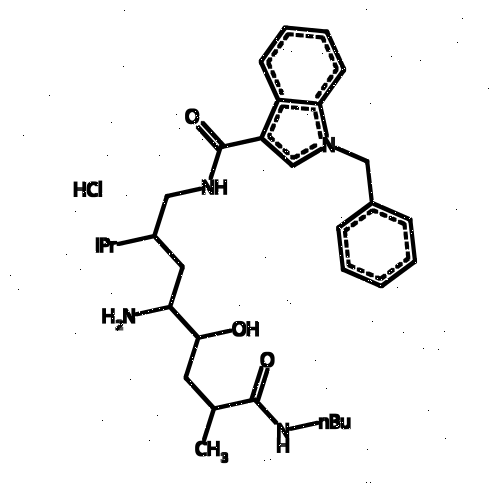 CCCCNC(=O)C(C)CC(O)C(N)CC(CNC(=O)c1cn(Cc2ccccc2)c2ccccc12)C(C)C.Cl